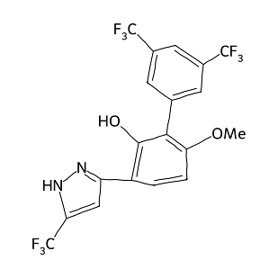 COc1ccc(-c2cc(C(F)(F)F)[nH]n2)c(O)c1-c1cc(C(F)(F)F)cc(C(F)(F)F)c1